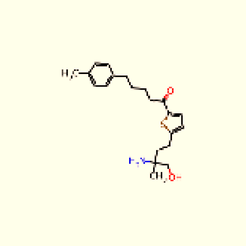 Cc1ccc(CCCCC(=O)c2ccc(CCC(C)(N)CO)s2)cc1